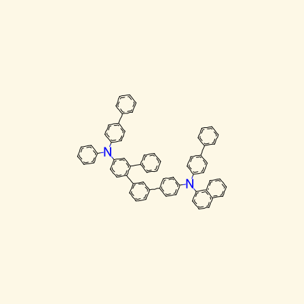 c1ccc(-c2ccc(N(c3ccccc3)c3ccc(-c4cccc(-c5ccc(N(c6ccc(-c7ccccc7)cc6)c6cccc7ccccc67)cc5)c4)c(-c4ccccc4)c3)cc2)cc1